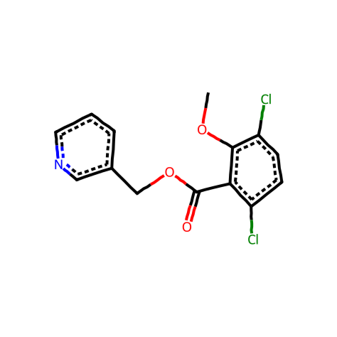 COc1c(Cl)ccc(Cl)c1C(=O)OCc1cccnc1